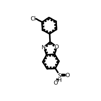 O=[SH](=O)c1ccc2nc(-c3cccc(Cl)c3)oc2c1